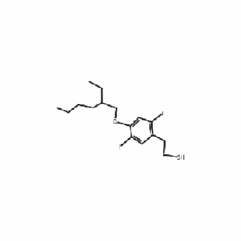 CCCCC(CC)COc1cc(I)c(CCS)cc1I